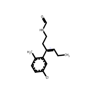 CC/C=C(/CCNC=O)c1cc(Cl)ccc1C